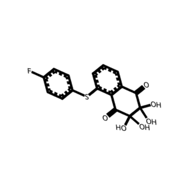 O=C1c2cccc(Sc3ccc(F)cc3)c2C(=O)C(O)(O)C1(O)O